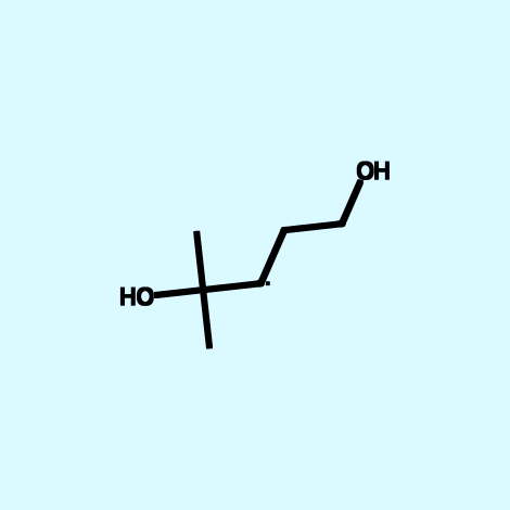 CC(C)(O)[CH]CCO